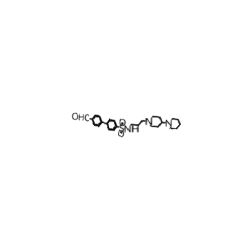 O=Cc1ccc(-c2ccc(S(=O)(=O)NCCCN3CCC(N4CCCCC4)CC3)cc2)cc1